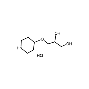 Cl.OCC(O)COC1CCNCC1